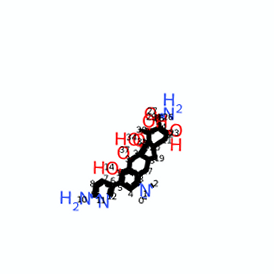 CN(C)c1cc(-c2ccc(N)nc2)c(O)c2c1CC1CC3CC(O)=C(C(N)=O)C4(O)CO[C@]34C(O)=C1C2=O